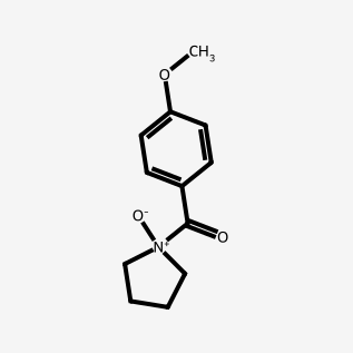 COc1ccc(C(=O)[N+]2([O-])CCCC2)cc1